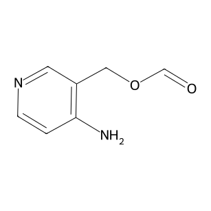 Nc1ccncc1COC=O